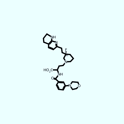 O=C(NC(CCN1CCC[C@@](F)(CCc2ccc3c(n2)NCCC3)C1)C(=O)O)c1cccc(N2CCOCC2)c1